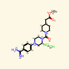 CC[C@H](C)OC(=O)CC1CCN(C(=O)N2CCN(c3ccc(C(=N)N)cc3)CC2)CC1.Cl.Cl